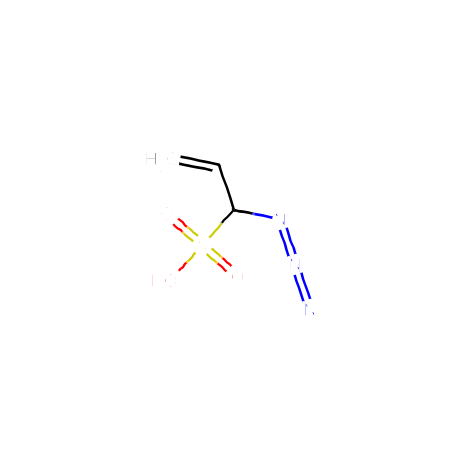 C=CC(N=[N+]=[N-])S(=O)(=O)O